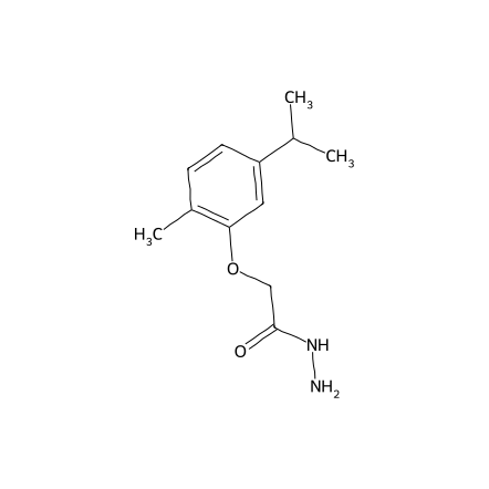 Cc1ccc(C(C)C)cc1OCC(=O)NN